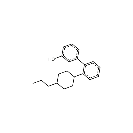 CCCC1CCC(c2ccccc2-c2cccc(O)c2)CC1